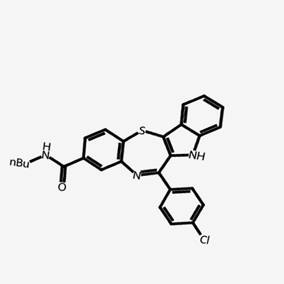 CCCCNC(=O)c1ccc2c(c1)N=C(c1ccc(Cl)cc1)c1[nH]c3ccccc3c1S2